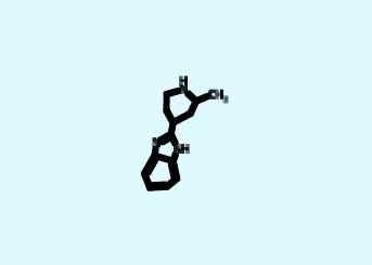 CC1CC(c2nc3ccccc3[nH]2)CCN1